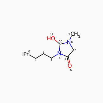 CC(C)CCCN1C(=O)CN(C)C1O